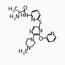 CC(N)C(=O)Nc1cccc(Sc2cnc(N3CCN(C)CC3)c(Oc3cccnc3)n2)n1